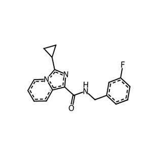 O=C(NCc1cccc(F)c1)c1nc(C2CC2)n2ccccc12